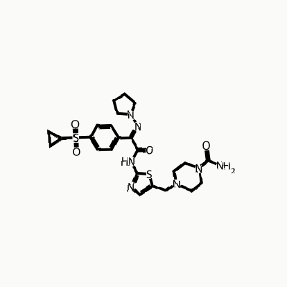 NC(=O)N1CCN(Cc2cnc(NC(=O)/C(=N/N3CCCC3)c3ccc(S(=O)(=O)C4CC4)cc3)s2)CC1